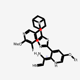 CCOC1=CN/C(=C(/N)C=N)C(c2nnc(N3CC4CC(C3)N4Cc3cnc(OC)c(F)c3)s2)=C1